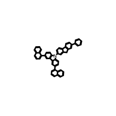 c1ccc(-c2ccc3c(c2)Cc2cc(-n4c5ccc(-c6cccc7ccccc67)cc5c5cc(-c6cccc7ccccc67)ccc54)ccc2-3)cc1